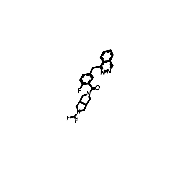 O=C(c1cc(Cc2nncc3ccccc23)ccc1F)N1CC2CN(C(F)F)CC2C1